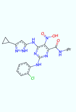 CC(C)NC(=O)c1nc(Nc2ccccc2Cl)nc(Nc2cc(C3CC3)n[nH]2)c1[N+](=O)O